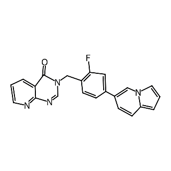 O=c1c2cccnc2ncn1Cc1ccc(-c2ccc3cccn3c2)cc1F